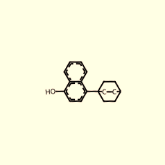 Oc1ccc(C23CCC(CC2)CC3)c2ccccc12